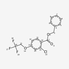 O=C(OCc1ccccc1)c1ccc(OCC(F)(F)F)cc1Cl